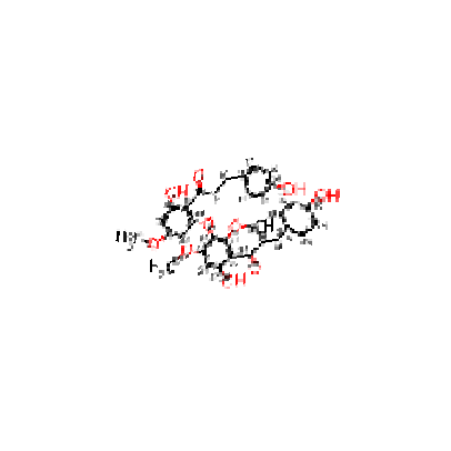 COc1cc(O)c(C(=O)CCc2ccc(O)cc2)c(Oc2c(OC)cc(O)c(C(=O)CCc3ccc(O)cc3)c2OC)c1